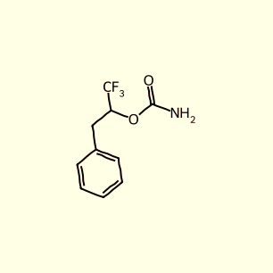 NC(=O)OC(Cc1ccccc1)C(F)(F)F